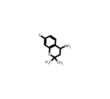 CC1(C)CC(N)c2ccc(F)cc2O1